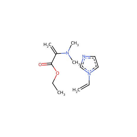 C=C(C(=O)OCC)N(C)C.C=Cn1ccnc1